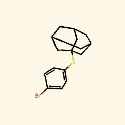 Brc1ccc(SC23CC4CC(CC(C4)C2)C3)cc1